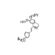 CCCOc1cc2c(cc1OCCC)C(/C=C/c1ccc(OC(C)=O)cc1)=NCC2